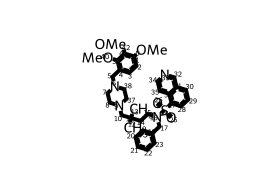 COc1ccc(CN2CCN(CC(C)(C)CCN(Cc3ccccc3)S(=O)(=O)c3cccc4cnccc34)CC2)c(OC)c1OC